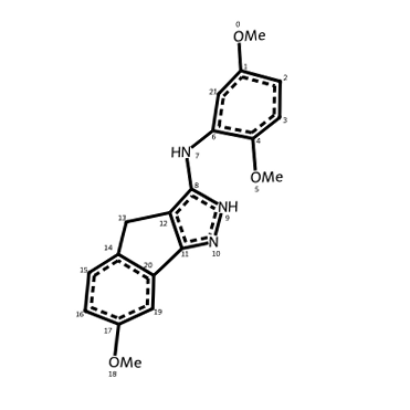 COc1ccc(OC)c(Nc2[nH]nc3c2Cc2ccc(OC)cc2-3)c1